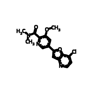 COc1cc(-c2cc3nccc(Cl)c3o2)cnc1C(=O)N(C)C